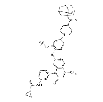 COc1cc(N2CCN(C(=O)C34CC5CC(CC(C5)C3)C4)CC2)ccc1Nc1ncc2c(C)cc(=O)n(-c3cccc(NC(=O)C4CC4)c3)c2n1